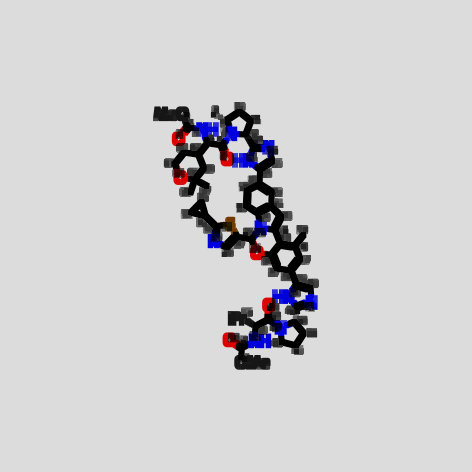 COC(=O)NC(C(=O)N1[C@H](C)CC[C@H]1c1ncc(-c2ccc3c(c2)cc2n3C(c3cnc(C4CC4)s3)Oc3cc(-c4cnc([C@@H]5CCCN5C(=O)[C@@H](NC(=O)OC)C(C)C)[nH]4)cc(C)c3-2)[nH]1)C1CCOC(C)(C)C1